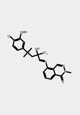 COc1cc(C(C)(C)CC(O)(/C=N/c2cccc3c(=O)n(C)ncc23)C(F)(F)F)ccc1Cl